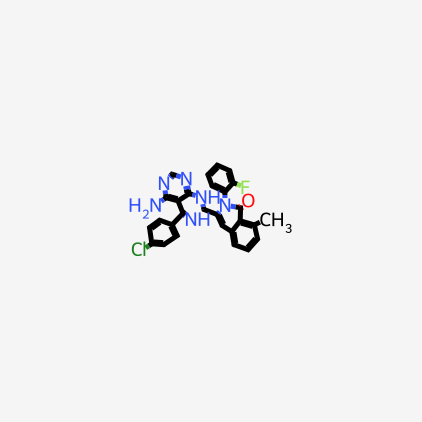 Cc1cccc2cc(CNc3ncnc(N)c3C(=N)c3ccc(Cl)cc3)n(-c3ccccc3F)c(=O)c12